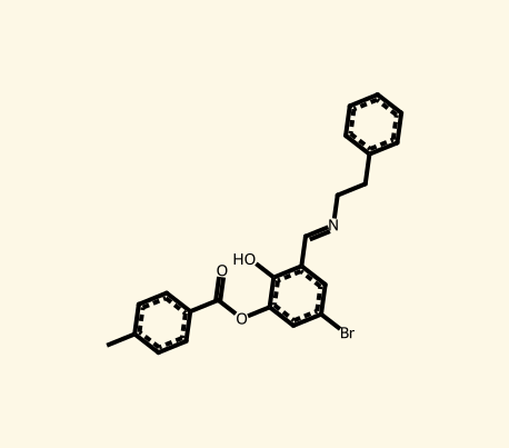 Cc1ccc(C(=O)Oc2cc(Br)cc(C=NCCc3ccccc3)c2O)cc1